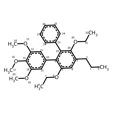 CCCc1[c]c(OCC)c(-c2cc(OC)c(OC)c(OC)c2)c(-c2ccccc2)c1OCC